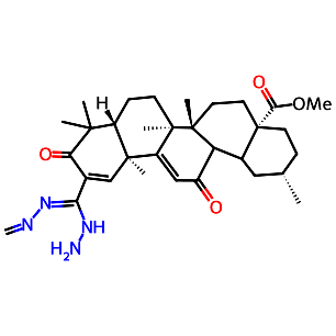 C=N/N=C(\NN)C1=C[C@]2(C)C3=CC(=O)C4C5C[C@@H](C)CC[C@]5(C(=O)OC)CC[C@@]4(C)[C@]3(C)CC[C@H]2C(C)(C)C1=O